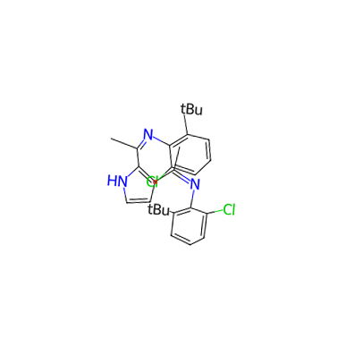 CC(=Nc1c(Cl)cccc1C(C)(C)C)c1cc[nH]c1C(C)=Nc1c(Cl)cccc1C(C)(C)C